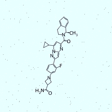 C[C@@H]1c2ccccc2CCN1C(=O)c1cc(C2CC2)n2nc(-c3ccc(N4CC(C(N)=O)C4)cc3F)cc2n1